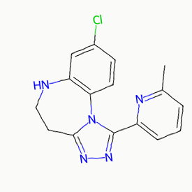 Cc1cccc(-c2nnc3n2-c2ccc(Cl)cc2NCC3)n1